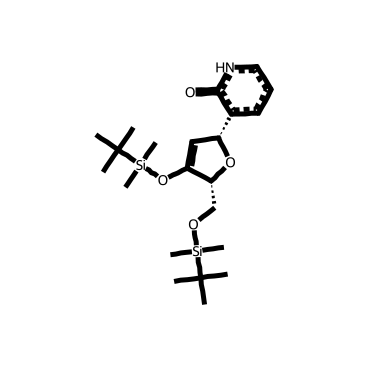 CC(C)(C)[Si](C)(C)OC[C@H]1O[C@@H](c2ccc[nH]c2=O)C=C1O[Si](C)(C)C(C)(C)C